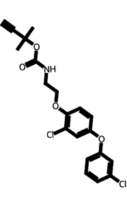 C#CC(C)(C)OC(=O)NCCOc1ccc(Oc2cccc(Cl)c2)cc1Cl